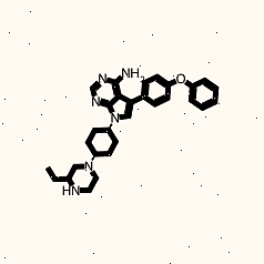 CCC1CN([C@H]2CC[C@@H](n3cc(-c4ccc(Oc5ccccc5)cc4)c4c(N)ncnc43)CC2)CCN1